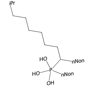 CCCCCCCCCC(CCCCCCC(C)C)P(O)(O)(O)CCCCCCCCC